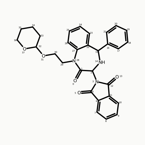 O=C1C(N2C(=O)c3ccccc3C2=O)NC(c2ccccc2)c2ccccc2N1CCOC1CCCCO1